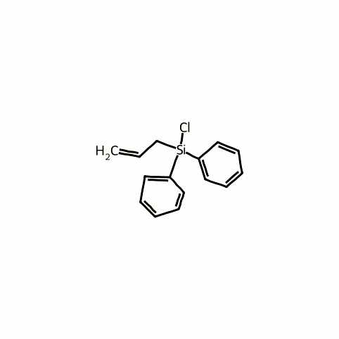 C=CC[Si](Cl)(c1ccccc1)c1ccccc1